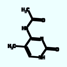 CC(=O)Nc1nc(=O)[nH]cc1C